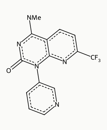 CNc1nc(=O)n(-c2cccnc2)c2nc(C(F)(F)F)ccc12